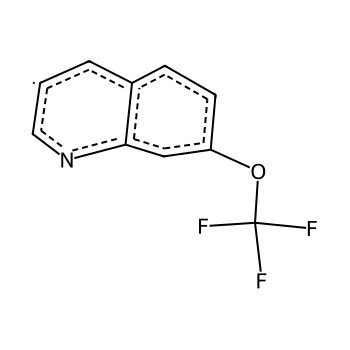 FC(F)(F)Oc1ccc2c[c]cnc2c1